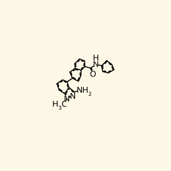 Cn1nc(N)c2c(-c3ccc4c(C(=O)Nc5ccccc5)cccc4c3)cccc21